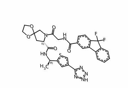 C[C@@H](NC(=O)[C@@H]1CC2(CN1C(=O)CNC(=O)c1ccc3c(c1)-c1ccccc1C3(F)F)OCCO2)c1cc(-c2nn[nH]n2)cs1